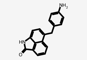 Nc1ccc(Cc2ccc3c4c(cccc24)C(=O)N3)cc1